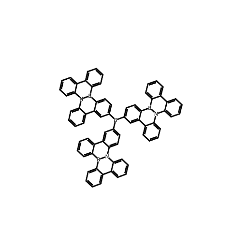 c1ccc2c(c1)B1c3ccc(B(c4ccc5c(c4)-c4ccccc4N4B5c5ccccc5-c5ccccc54)c4ccc5c(c4)-c4ccccc4B4c6ccccc6-c6ccccc6N45)cc3-c3ccccc3N1c1ccccc1-2